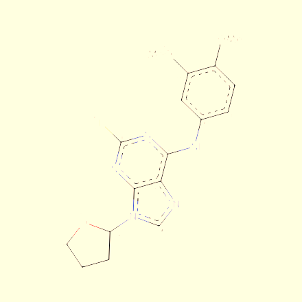 COc1ccc(Nc2nc(F)nc3c2ncn3C2CCCO2)cc1OC